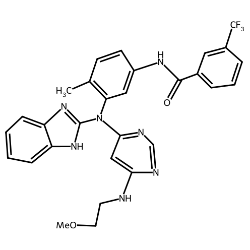 COCCNc1cc(N(c2nc3ccccc3[nH]2)c2cc(NC(=O)c3cccc(C(F)(F)F)c3)ccc2C)ncn1